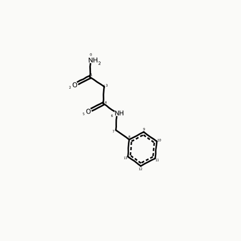 NC(=O)[CH]C(=O)NCc1ccccc1